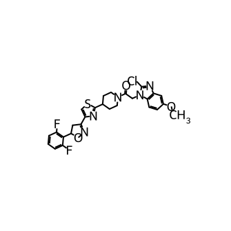 COc1ccc2c(c1)nc(Cl)n2CC(=O)N1CCC(c2nc(C3=NOC(c4c(F)cccc4F)C3)cs2)CC1